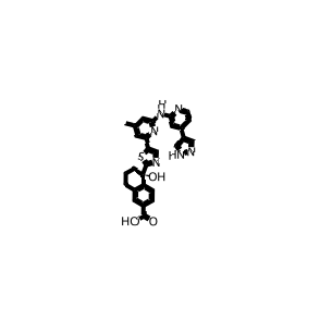 Cc1cc(Nc2cc(-c3cn[nH]c3)ccn2)nc(-c2cnc([C@]3(O)CCCc4cc(C(=O)O)ccc43)s2)c1